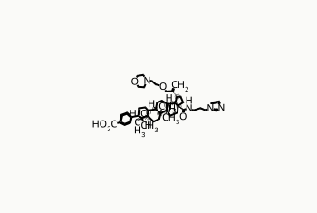 C=C(COCCN1CCOCC1)[C@@H]1CC[C@]2(C(=O)NCCCn3ccnc3)CC[C@]3(C)[C@H](CC[C@@H]4[C@@]5(C)CC=C(c6ccc(C(=O)O)cc6)C(C)(C)[C@@H]5CC[C@]43C)[C@@H]12